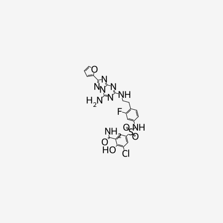 NC(=O)c1cc(S(=O)(=O)Nc2ccc(CCNc3nc(N)n4nc(-c5ccco5)nc4n3)c(F)c2)cc(Cl)c1O